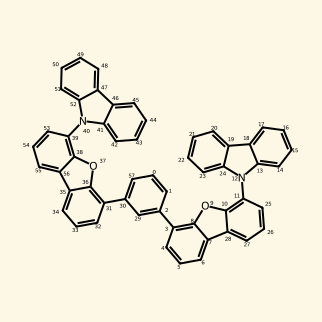 c1cc(-c2cccc3c2oc2c(-n4c5ccccc5c5ccccc54)cccc23)cc(-c2cccc3c2oc2c(-n4c5ccccc5c5ccccc54)cccc23)c1